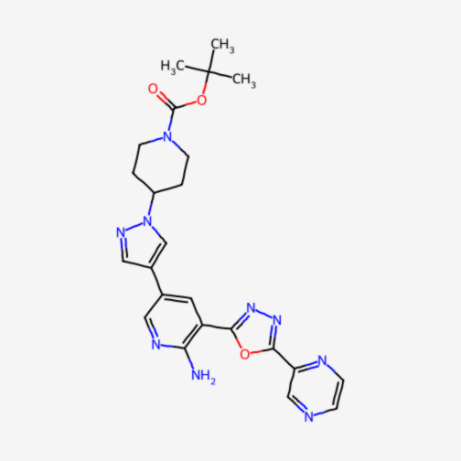 CC(C)(C)OC(=O)N1CCC(n2cc(-c3cnc(N)c(-c4nnc(-c5cnccn5)o4)c3)cn2)CC1